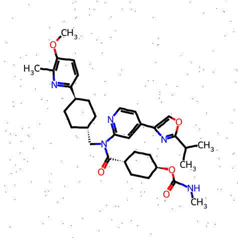 CNC(=O)O[C@H]1CC[C@H](C(=O)N(C[C@H]2CC[C@H](c3ccc(OC)c(C)n3)CC2)c2cc(-c3coc(C(C)C)n3)ccn2)CC1